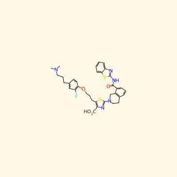 CN(C)CCCc1ccc(OCCCc2sc(N3CCc4cccc(C(=O)Nc5nc6ccccc6s5)c4C3)nc2C(=O)O)c(F)c1